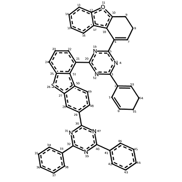 C1=CC(c2nc(C3=CCCc4oc5ccccc5c43)nc(-c3cccc4sc5cc(-c6nc(-c7ccccc7)nc(-c7ccccc7)n6)ccc5c34)n2)=CCC1